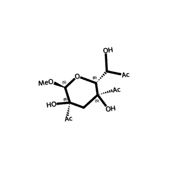 CO[C@H]1O[C@H](C(O)C(C)=O)[C@](O)(C(C)=O)C[C@]1(O)C(C)=O